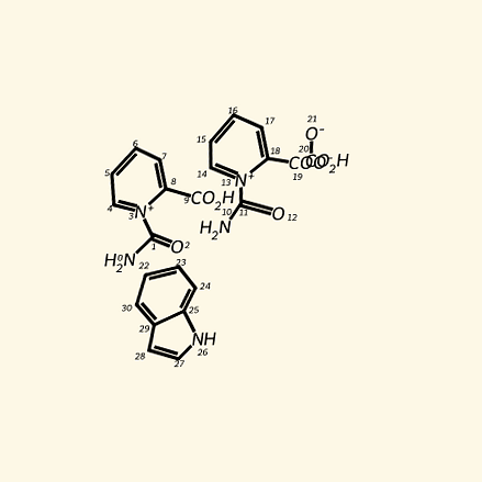 NC(=O)[n+]1ccccc1C(=O)O.NC(=O)[n+]1ccccc1C(=O)[O-].O=C([O-])O.c1ccc2[nH]ccc2c1